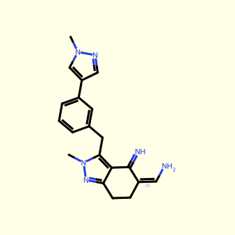 Cn1cc(-c2cccc(Cc3c4c(nn3C)CC/C(=C/N)C4=N)c2)cn1